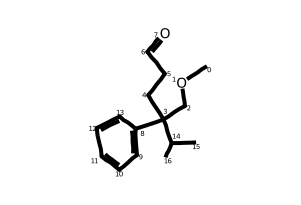 COCC(CCC=O)(c1ccccc1)C(C)C